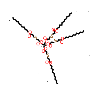 CCCCCCCCCCCCOC(=O)CCSCCC(=O)OCC(COC(=O)CCSCCC(=O)OCCCCCCCCCCCC)(COC(=O)CCSCCC(=O)OCCCCCCCCCCCC)COC(=O)CCSCCC(=O)OCCCCCCCCCCCC